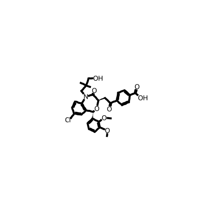 COc1cccc([C@H]2O[C@H](CC(=O)c3ccc(C(=O)O)cc3)C(=O)N(CC(C)(C)CO)c3ccc(Cl)cc32)c1OC